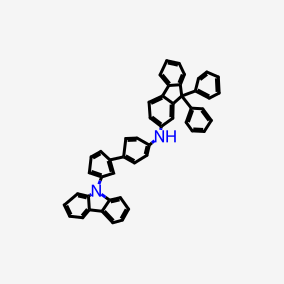 c1ccc(C2(c3ccccc3)c3ccccc3-c3ccc(Nc4ccc(-c5cccc(-n6c7ccccc7c7ccccc76)c5)cc4)cc32)cc1